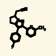 Cc1cccc(-c2nn3c(c2-c2ccc(F)cc2)CCC3CC#N)n1